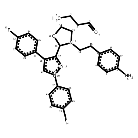 CCCC=O.Nc1ccc(CCN2CCOC2c2nn(-c3ccc(F)cc3)cc2-c2ccc(F)cc2)cc1